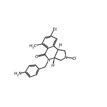 CCc1cc(C)c2c(c1)[C@H]1CN(Cl)C[C@@H]1N(Cc1ccc(N)cc1)C2=O